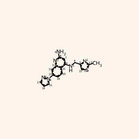 Cc1nc(CNc2cc(N)nc3cc(-n4cccn4)ccc23)cs1